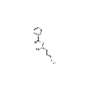 O=C(OC(S)CCCCS)c1ccccc1